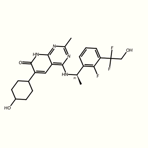 Cc1nc(N[C@H](C)c2cccc(C(F)(F)CO)c2F)c2cc(C3CCC(O)CC3)c(=O)[nH]c2n1